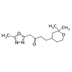 Cc1nnc(CC(=O)CCC2CCOC(C)(C)C2)o1